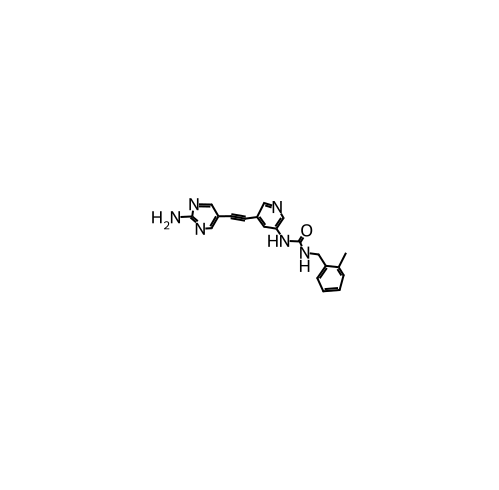 Cc1ccccc1CNC(=O)Nc1cncc(C#Cc2cnc(N)nc2)c1